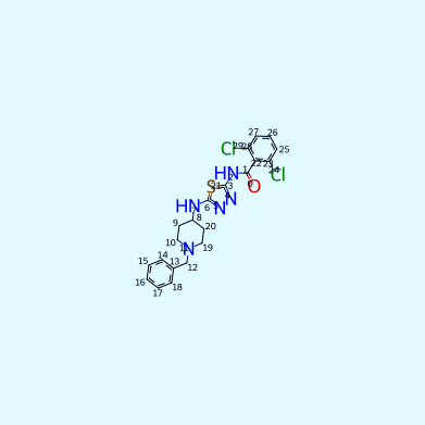 O=C(Nc1nnc(NC2CCN(Cc3ccccc3)CC2)s1)c1c(Cl)cccc1Cl